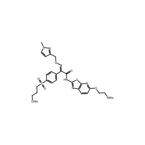 CNCCOc1ccc2nc(NC(=O)/C(=N/OCc3ccn(C)n3)c3ccc(S(=O)(=O)CCCOC)cc3)sc2n1